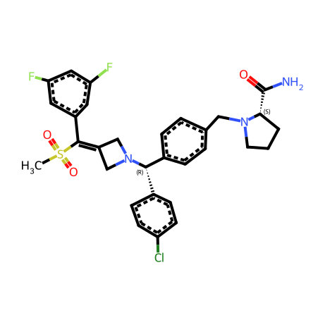 CS(=O)(=O)C(=C1CN([C@@H](c2ccc(Cl)cc2)c2ccc(CN3CCC[C@H]3C(N)=O)cc2)C1)c1cc(F)cc(F)c1